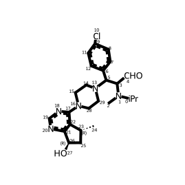 CC(C)N(C)C(C=O)C(c1ccc(Cl)cc1)N1CCN(c2ncnc3c2[C@H](C)C[C@H]3O)CC1